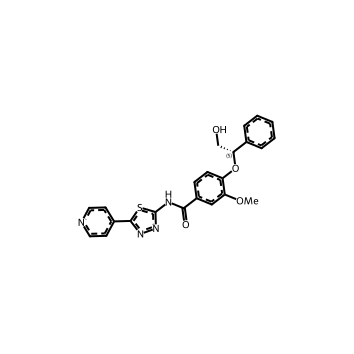 COc1cc(C(=O)Nc2nnc(-c3ccncc3)s2)ccc1O[C@H](CO)c1ccccc1